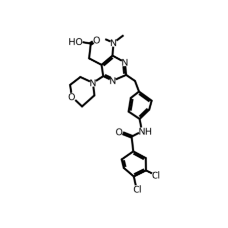 CN(C)c1nc(Cc2ccc(NC(=O)c3ccc(Cl)c(Cl)c3)cc2)nc(N2CCOCC2)c1CC(=O)O